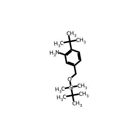 CC(C)(C)c1ccc(CO[Si](C)(C)C(C)(C)C)cc1N